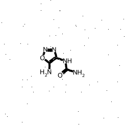 NC(=O)Nc1nnoc1N